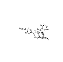 CNc1ccc(-c2ccc3nc(N)nc(NC4CCCCC4)c3c2)cc1